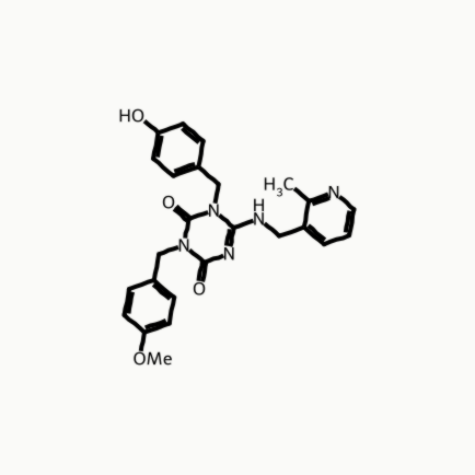 COc1ccc(Cn2c(=O)nc(NCc3cccnc3C)n(Cc3ccc(O)cc3)c2=O)cc1